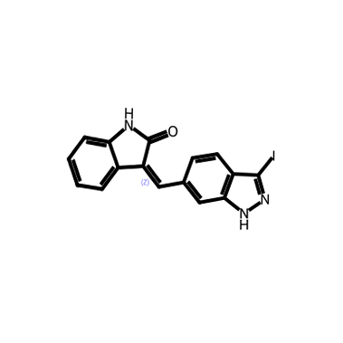 O=C1Nc2ccccc2/C1=C/c1ccc2c(I)n[nH]c2c1